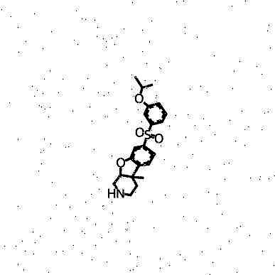 CC(C)Oc1cccc(S(=O)(=O)c2ccc3c(c2)OC2CNCCC32C)c1